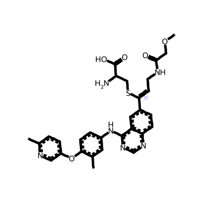 COCC(=O)NC/C=C(\SCC(N)C(=O)O)c1ccc2ncnc(Nc3ccc(Oc4ccc(C)nc4)c(C)c3)c2c1